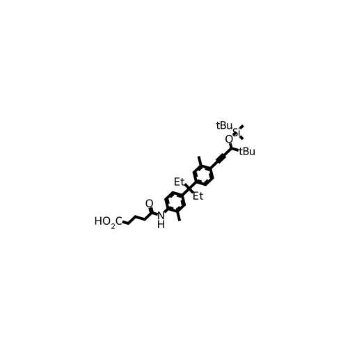 CCC(CC)(c1ccc(C#CC(O[Si](C)(C)C(C)(C)C)C(C)(C)C)c(C)c1)c1ccc(NC(=O)CCCC(=O)O)c(C)c1